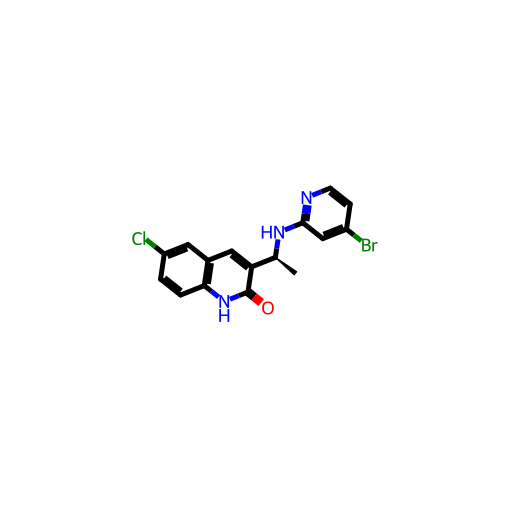 C[C@H](Nc1cc(Br)ccn1)c1cc2cc(Cl)ccc2[nH]c1=O